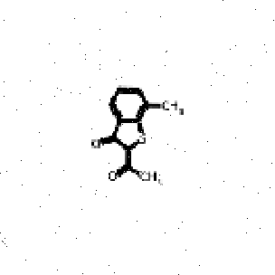 CC(=O)C1Sc2c(C)cccc2C1=O